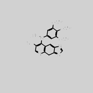 COc1cc(N(C=O)c2c(C#N)cnc3c2C=C2N=CN=C2C3)cc(OC)c1OC